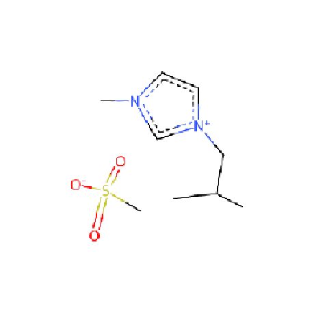 CC(C)C[n+]1ccn(C)c1.CS(=O)(=O)[O-]